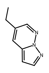 CCc1cnn2nccc2c1